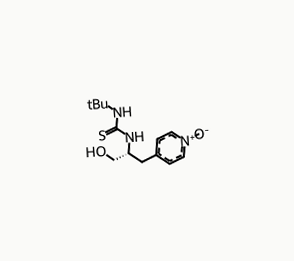 CC(C)(C)NC(=S)N[C@@H](CO)Cc1cc[n+]([O-])cc1